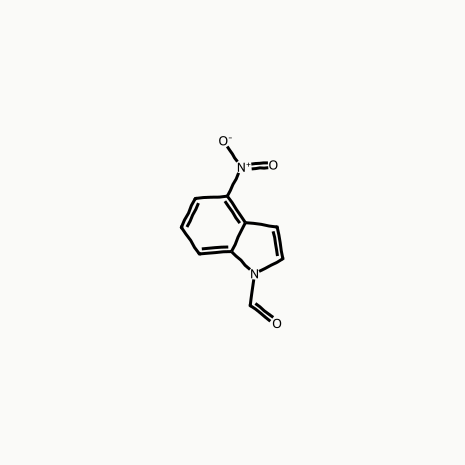 O=Cn1ccc2c([N+](=O)[O-])cccc21